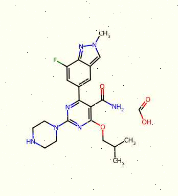 CC(C)COc1nc(N2CCNCC2)nc(-c2cc(F)c3nn(C)cc3c2)c1C(N)=O.O=CO